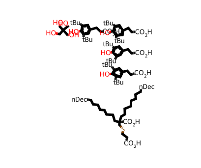 CC(C)(C)c1cc(CCC(=O)O)cc(C(C)(C)C)c1O.CC(C)(C)c1cc(CCC(=O)O)cc(C(C)(C)C)c1O.CC(C)(C)c1cc(CCC(=O)O)cc(C(C)(C)C)c1O.CC(C)(C)c1cc(CCC(=O)O)cc(C(C)(C)C)c1O.CCCCCCCCCCCCCCCCCCC(CCCCCCCCCCCCCCCCCC)(CSCCC(=O)O)C(=O)O.OCC(CO)(CO)CO